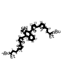 CCCCC(CC)CCc1ccc(-c2ccc(-c3c4ccccc4c(-c4ccc(-c5ccc(CCC(CC)CCCC)s5)s4)c4nsnc34)s2)s1